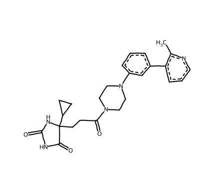 Cc1ncccc1-c1cccc(N2CCN(C(=O)CCC3(C4CC4)NC(=O)NC3=O)CC2)c1